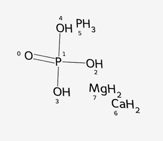 O=P(O)(O)O.P.[CaH2].[MgH2]